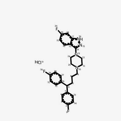 Cl.Fc1ccc(C(CCCN2CCN(c3n[nH]c4cc(F)ccc34)CC2)c2ccc(F)cc2)cc1